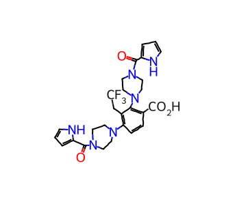 O=C(O)c1ccc(N2CCN(C(=O)c3ccc[nH]3)CC2)c(CC(F)(F)F)c1N1CCN(C(=O)c2ccc[nH]2)CC1